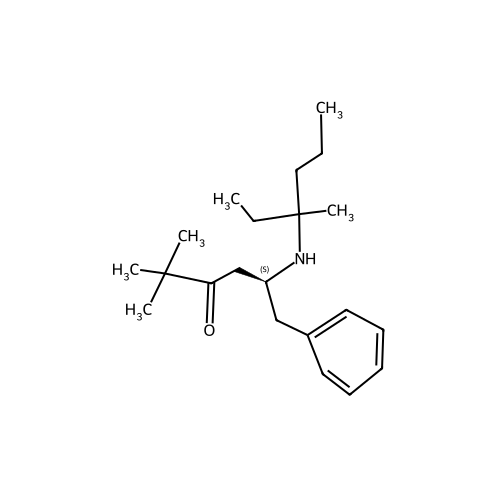 CCCC(C)(CC)N[C@H](CC(=O)C(C)(C)C)Cc1ccccc1